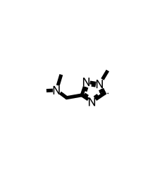 CN(C)Cc1n[c]n(C)n1